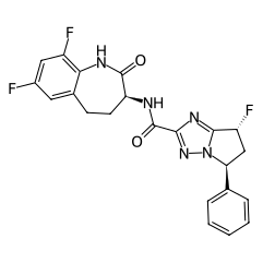 O=C(N[C@H]1CCc2cc(F)cc(F)c2NC1=O)c1nc2n(n1)[C@H](c1ccccc1)C[C@H]2F